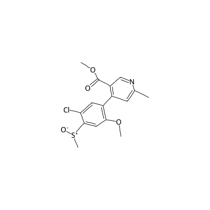 COC(=O)c1cnc(C)cc1-c1cc(Cl)c([S+](C)[O-])cc1OC